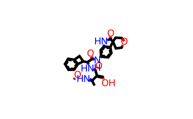 COc1cccc2c1C(C(NC(=O)/C(=C/O)C(C)=N)C(=O)Nc1ccc3c(c1)NC(=O)C31CCOCC1)C2